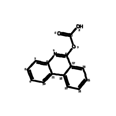 O=C(O)Oc1nc2ccccc2c2ccccc12